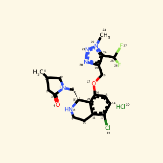 CC1CC(=O)N(C[C@H]2NCCc3c(Cl)ccc(OCc4nnn(C)c4C(F)F)c32)C1.Cl